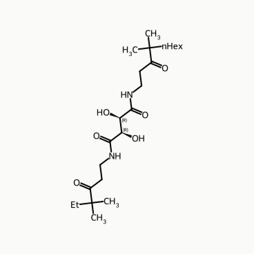 CCCCCCC(C)(C)C(=O)CCNC(=O)[C@H](O)[C@@H](O)C(=O)NCCC(=O)C(C)(C)CC